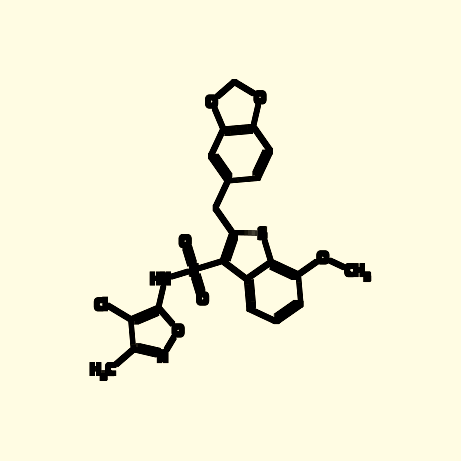 COc1cccc2c(S(=O)(=O)Nc3onc(C)c3Cl)c(Cc3ccc4c(c3)OCO4)sc12